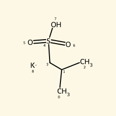 CC(C)CS(=O)(=O)O.[K]